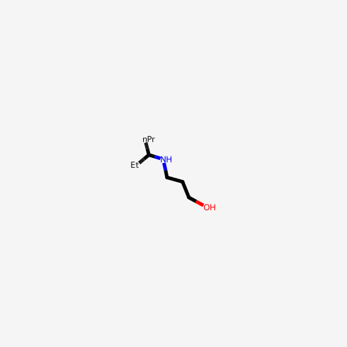 CCCC(CC)NCCCO